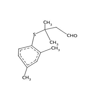 Cc1ccc(SC(C)(C)CC=O)c(C)c1